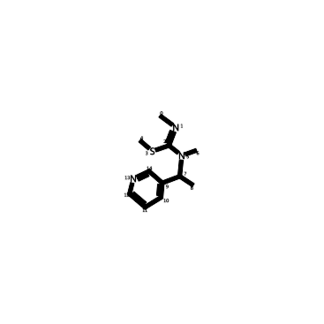 CN=C(SC)N(C)C(C)c1cccnc1